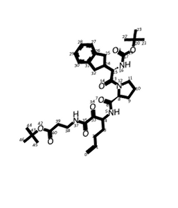 C=CCCC(NC(=O)[C@@H]1CCCN1C(=O)[C@@H](NC(=O)OC(C)(C)C)C1Cc2ccccc2C1)C(=O)C(=O)NCCC(=O)OC(C)(C)C